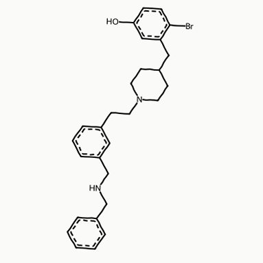 Oc1ccc(Br)c(CC2CCN(CCc3cccc(CNCc4ccccc4)c3)CC2)c1